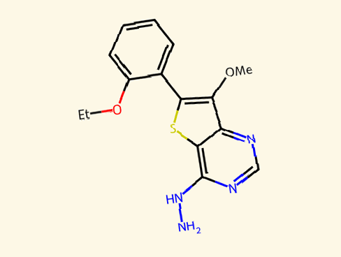 CCOc1ccccc1-c1sc2c(NN)ncnc2c1OC